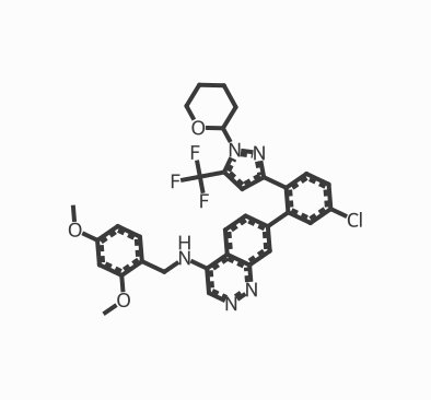 COc1ccc(CNc2cnnc3cc(-c4cc(Cl)ccc4-c4cc(C(F)(F)F)n(C5CCCCO5)n4)ccc23)c(OC)c1